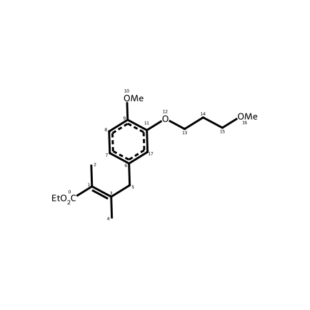 CCOC(=O)C(C)=C(C)Cc1ccc(OC)c(OCCCOC)c1